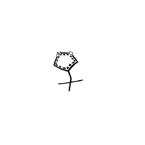 CC(C)(C)c1[c]onc1